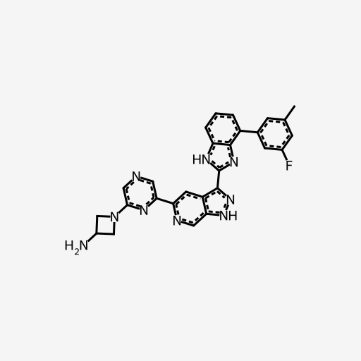 Cc1cc(F)cc(-c2cccc3[nH]c(-c4n[nH]c5cnc(-c6cncc(N7CC(N)C7)n6)cc45)nc23)c1